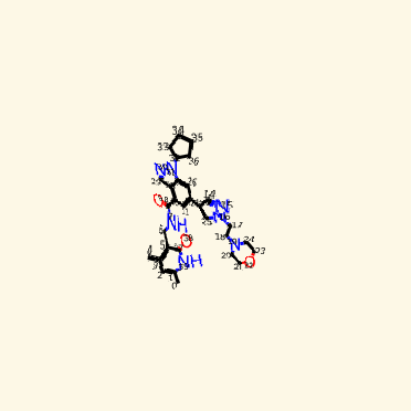 Cc1cc(C)c(CNC(=O)c2cc(-c3cnn(CCN4CCOCC4)c3)cc3c2cnn3C2CCCC2)c(=O)[nH]1